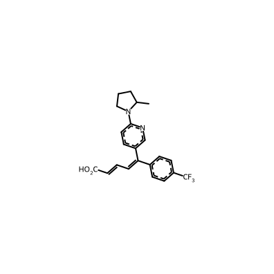 CC1CCCN1c1ccc(/C(=C\C=C\C(=O)O)c2ccc(C(F)(F)F)cc2)cn1